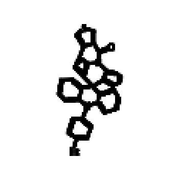 CCc1ccc(N2c3ccccc3C3(c4ccccc42)c2ccccc2-n2c(=O)c4cscc4c4cccc3c42)cc1